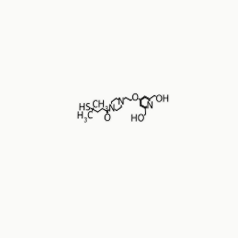 CC(C)(S)CCC(=O)N1CCN(CCOc2cc(CO)nc(CO)c2)CC1